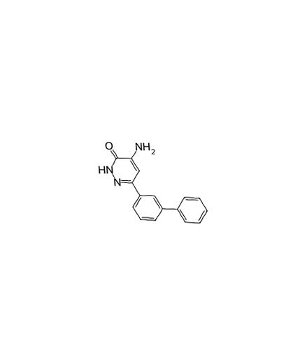 Nc1cc(-c2cccc(-c3ccccc3)c2)n[nH]c1=O